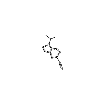 CC(C)n1ccc2cc(C#N)ncc21